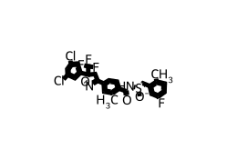 Cc1ccc(F)cc1C[S+]([O-])NC(=O)c1ccc(C2=NOC(c3cc(Cl)cc(Cl)c3)(C(F)(F)F)C2)cc1C